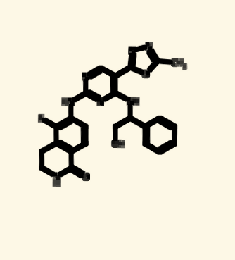 Cc1nnc(-c2cnc(Nc3ccc4c(c3F)CCNC4=O)nc2NC(CO)c2ccccc2)o1